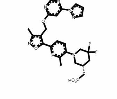 Cc1nc(-c2onc(C)c2COc2cc(-n3cccn3)ncn2)ccc1N1C[C@@H](CC(=O)O)CC(F)(F)C1